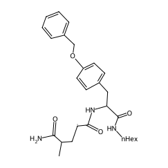 CCCCCCNC(=O)C(Cc1ccc(OCc2ccccc2)cc1)NC(=O)[CH]CC(C)C(N)=O